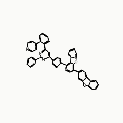 c1ccc(-c2nc(-c3ccc(-c4ccc(-c5ccc6c(c5)oc5ccccc56)c5oc6ccccc6c45)cc3)cc(-c3ccccc3-c3ccncc3)n2)cc1